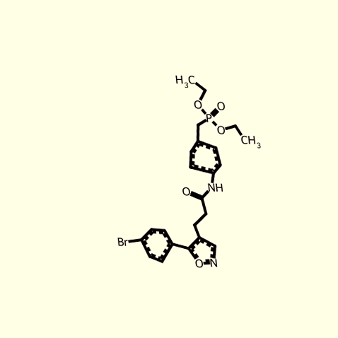 CCOP(=O)(Cc1ccc(NC(=O)CCc2cnoc2-c2ccc(Br)cc2)cc1)OCC